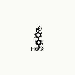 CON=C1CCC(c2ccc(C(=O)O)cc2)CC1